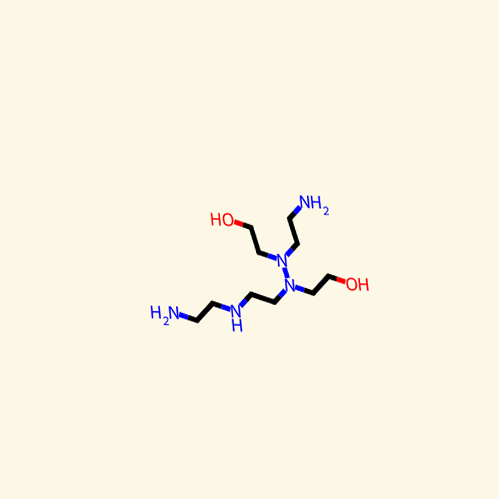 NCCNCCN(CCO)N(CCN)CCO